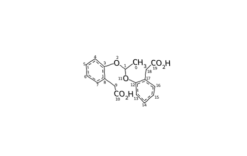 CC(Oc1ccccc1CC(=O)O)Oc1ccccc1CC(=O)O